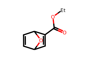 CCOC(=O)C1=CC2C=CC1O2